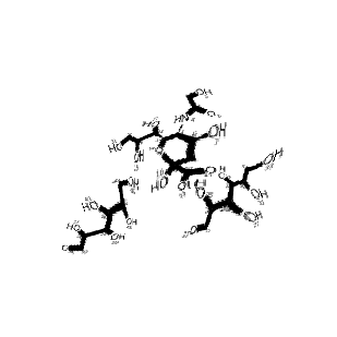 O=C(CO)N[C@@H]1[C@@H](O)CC(O)(C(=O)O)O[C@H]1C(O)C(O)CO.O=CC(O)C(O)C(O)C(O)CO.O=CC(O)C(O)C(O)C(O)CO